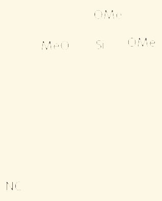 CO[Si](CCCCCC#N)(OC)OC